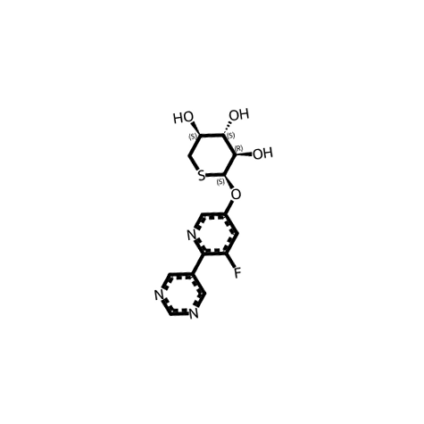 O[C@@H]1[C@@H](O)[C@@H](Oc2cnc(-c3cncnc3)c(F)c2)SC[C@H]1O